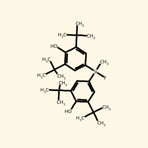 CC(C)(C)c1cc([Si](C)(F)c2cc(C(C)(C)C)c(O)c(C(C)(C)C)c2)cc(C(C)(C)C)c1O